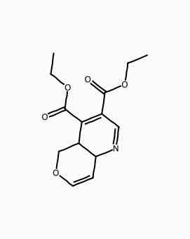 CCOC(=O)C1=C(C(=O)OCC)C2COC=CC2N=C1